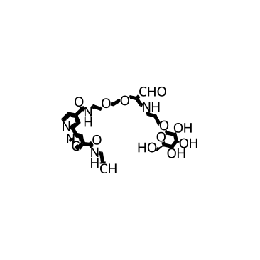 C#CCNC(=O)c1ccnc(-c2cc(C(=O)NCCOCCOCC(C=O)CNCCCO[C@@H]3O[C@H](CO)[C@@H](O)[C@H](O)[C@H]3O)ccn2)c1